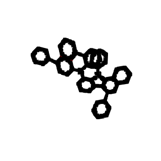 c1ccc(-c2ccc(N(c3ccccc3-c3ccccc3)c3cccc4c5c(-c6ccccc6)cc6ccccc6c5n(-c5ccccc5)c34)cc2)cc1